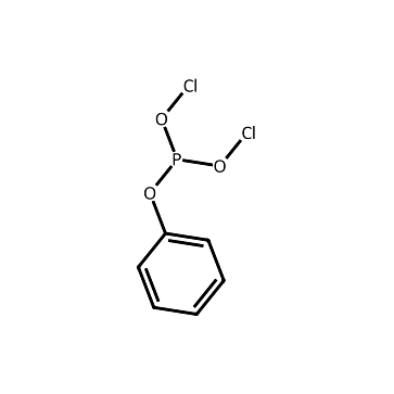 ClOP(OCl)Oc1ccccc1